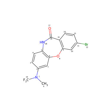 CN(c1ccc2c(c1)Oc1cc(Br)ccc1C(=O)N2)C(F)(F)F